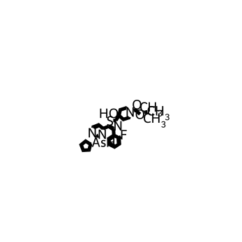 CC(C)(C)OC(=O)N1CCC(O)(c2nc(-c3ccccc3F)c(-c3ccnc([AsH]C4CCCC4)n3)s2)CC1